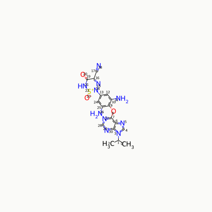 CC(C)n1cnc2c(Oc3c(N)cc(N4N=C(C#N)C(=O)N[S+]4[O-])cc3N)ncnc21